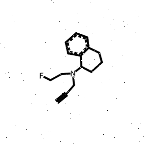 C#CCN(CCF)C1CCCc2ccccc21